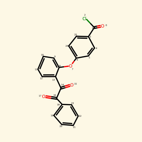 O=C(Cl)c1ccc(Oc2ccccc2C(=O)C(=O)c2ccccc2)cc1